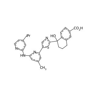 Cc1cc(Nc2cc(C(C)C)ccn2)nc(-c2cnc(C3(O)CCCc4cc(C(=O)O)ccc43)s2)c1